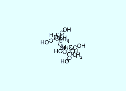 C=C(CC(C)(CC(C)(C)c1ccc(O)cc1)c1ccc(O)cc1)c1ccc(O)cc1.CC(CC(C)(CC(C)(C)c1ccc(O)cc1)c1ccc(O)cc1)c1ccc(O)cc1